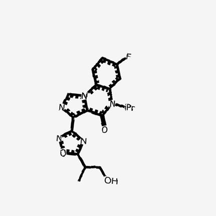 CC(CO)c1nc(-c2ncn3c2c(=O)n(C(C)C)c2cc(F)ccc23)no1